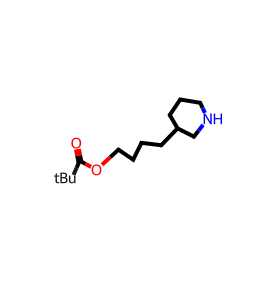 CC(C)(C)C(=O)OCCCCC1CCCNC1